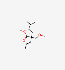 CCCC(CCC(C)C)(COC)C(=O)OC